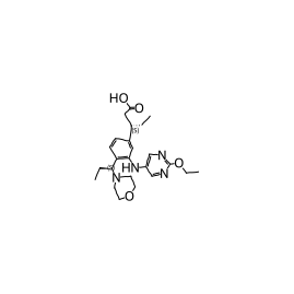 CCOc1ncc(Nc2cc([C@@H](CC)CC(=O)O)ccc2[C@H](CC)N2CCOCC2)cn1